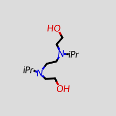 CC(C)N(CCO)CCN(CCO)C(C)C